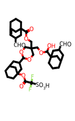 O=CC1C=C2CCCC(C(=O)OCC3(COC(O)C45CCCC(CC(C=O)C4)C5)COC(C4CC5CCCC(OC(=O)C(F)(F)S(=O)(=O)O)(C5)C4)OC3)(C2)C1